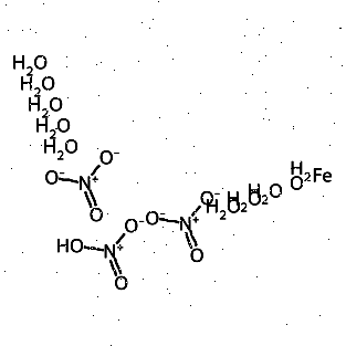 O.O.O.O.O.O.O.O.O.O=[N+]([O-])O.O=[N+]([O-])[O-].O=[N+]([O-])[O-].[Fe]